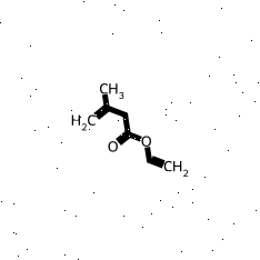 C=COC(=O)CC(=C)C